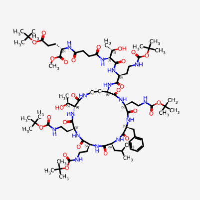 COC(=O)[C@H](CCC(=O)OC(C)(C)C)NC(=O)CCC(=O)N[C@H](C(=O)N[C@@H](CCNC(=O)OC(C)(C)C)C(=O)N[C@@H]1CCNC(=O)[C@@H]([C@H](C)O)NC(=O)[C@H](CCNC(=O)OC(C)(C)C)NC(=O)[C@H](CCNC(=O)OC(C)(C)C)NC(=O)[C@H](CC(C)C)NC(=O)[C@H](Cc2ccccc2)NC(=O)[C@H](CCNC(=O)OC(C)(C)C)NC1=O)[C@H](C)O